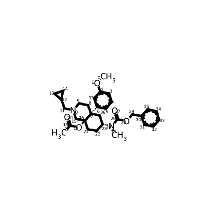 COc1cccc([C@@]23CCN(CC4CC4)C[C@@]2(OC(C)=O)CC[C@@H](N(C)C(=O)OCc2ccccc2)C3)c1